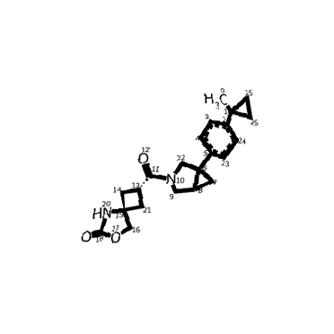 CC1(c2ccc(C34CC3CN(C(=O)[C@H]3C[C@]5(COC(=O)N5)C3)C4)cc2)CC1